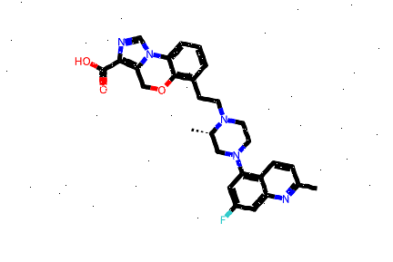 Cc1ccc2c(N3CCN(CCc4cccc5c4OCc4c(C(=O)O)ncn4-5)[C@@H](C)C3)cc(F)cc2n1